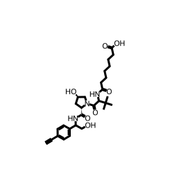 C#Cc1ccc(C(CO)NC(=O)[C@@H]2C[C@@H](O)CN2C(=O)C(NC(=O)CCCCCCC(=O)O)C(C)(C)C)cc1